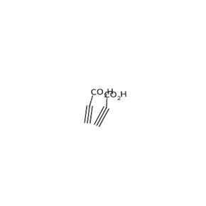 C#CC(=O)O.C#CC(=O)O